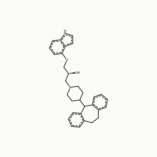 O[C@H](COc1cccc2[nH]ccc12)CN1CCC(C2c3ccccc3CCc3ccccc32)CC1